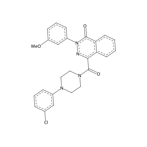 COc1cccc(-n2nc(C(=O)N3CCN(c4cccc(Cl)c4)CC3)c3ccccc3c2=O)c1